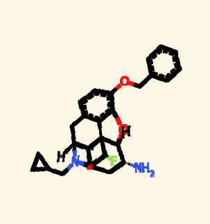 N[C@@H]1CC[C]2[C@H]3Cc4ccc(OCc5ccccc5)c5c4[C@]2([C@@H](F)CN3CC2CC2)[C@H]1O5